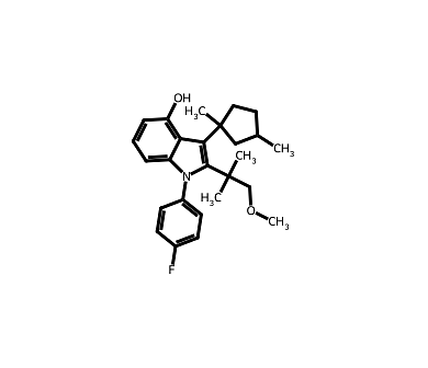 COCC(C)(C)c1c(C2(C)CCC(C)C2)c2c(O)cccc2n1-c1ccc(F)cc1